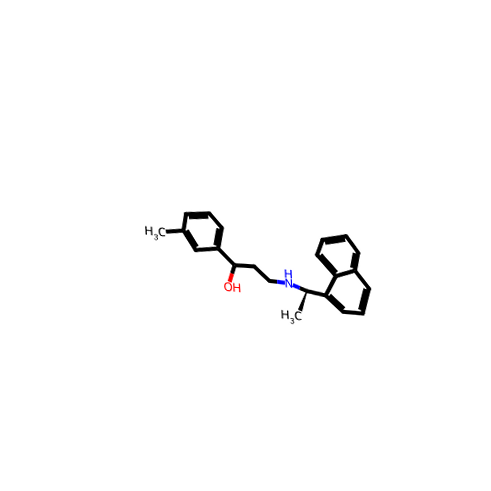 Cc1cccc(C(O)CCN[C@H](C)c2cccc3ccccc23)c1